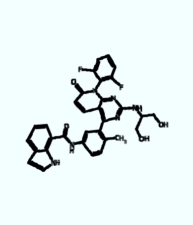 Cc1ccc(NC(=O)c2cccc3cc[nH]c23)cc1-c1nc(NC(CO)CO)nc2c1ccc(=O)n2-c1c(F)cccc1F